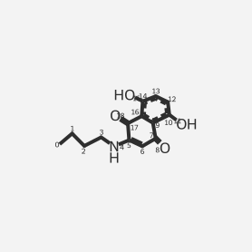 CCCCNC1=CC(=O)c2c(O)ccc(O)c2C1=O